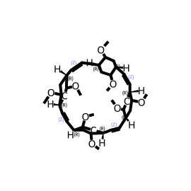 COC1C[C@@H]2/C=C\[C@H]3CC(OC)[C@@H](/C=C\[C@H]4CC(OC)[C@@H](/C=C\[C@H]5CC(OC)[C@@H](/C=C\[C@H]1CC2OC)CC5OC)CC4OC)CC3OC